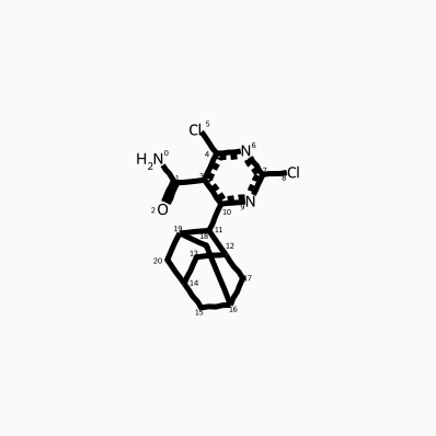 NC(=O)c1c(Cl)nc(Cl)nc1C1C2CC3CC(C2)CC1C3